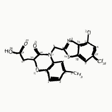 Cc1ccc2c(c1)N(Cc1nc3c(Cl)cc(Cl)cc3s1)C(=O)C(CC(=O)O)O2